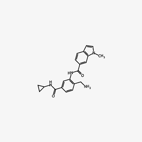 Cn1ccc2ccc(C(=O)Nc3cc(C(=O)NC4CC4)ccc3CN)cc21